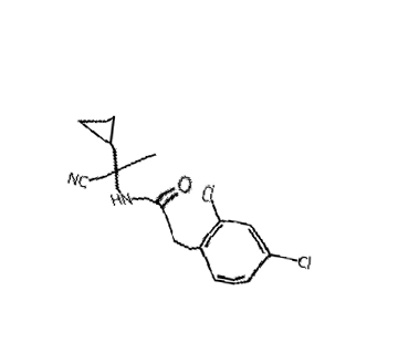 CC(C#N)(NC(=O)Cc1ccc(Cl)cc1Cl)C1CC1